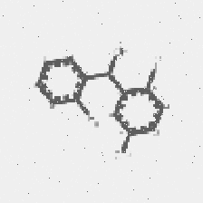 OC(c1ccccc1F)c1cc(Cl)ccc1I